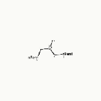 CCCCCC[S+](C)CCCCCC